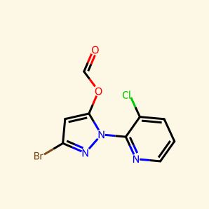 O=COc1cc(Br)nn1-c1ncccc1Cl